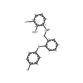 Cc1ccc(Sc2ccccc2CNc2cccc(F)c2O)cc1